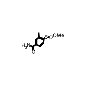 COOSc1ccc(C(N)=O)cc1C